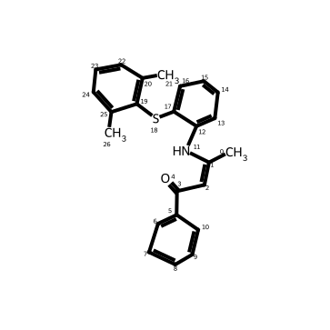 C/C(=C/C(=O)c1ccccc1)Nc1ccccc1Sc1c(C)cccc1C